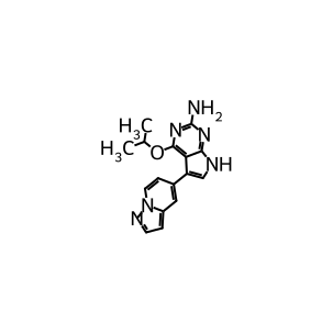 CC(C)Oc1nc(N)nc2[nH]cc(-c3ccn4nccc4c3)c12